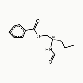 CCC[C@@H](COC(=O)c1ccccc1)NC=O